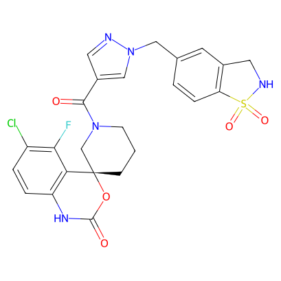 O=C1Nc2ccc(Cl)c(F)c2[C@@]2(CCCN(C(=O)c3cnn(Cc4ccc5c(c4)CNS5(=O)=O)c3)C2)O1